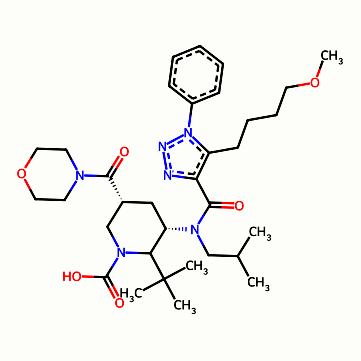 COCCCCc1c(C(=O)N(CC(C)C)[C@H]2C[C@@H](C(=O)N3CCOCC3)CN(C(=O)O)C2C(C)(C)C)nnn1-c1ccccc1